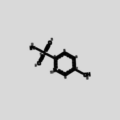 CC(C)S(=O)(=O)c1ccc(O)cn1